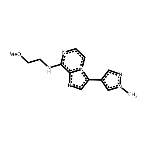 COCCNc1nccn2c(-c3cnn(C)c3)cnc12